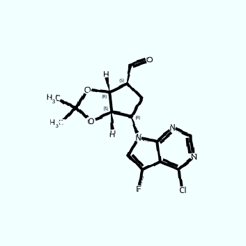 CC1(C)O[C@@H]2[C@H](O1)[C@@H](C=O)C[C@H]2n1cc(F)c2c(Cl)ncnc21